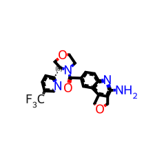 Nc1nc2ccc(C(=O)N3CCOC[C@H]3c3ccc(C(F)(F)F)cn3)cc2c2c1COC2